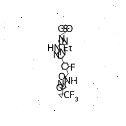 CCc1nn(CCS(C)(=O)=O)cc1Nc1ncc(-c2ccc(CC(=O)Nc3cc(C4(C(F)(F)F)CC4)on3)c(F)c2)cn1